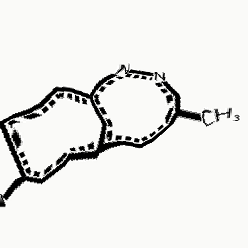 Cc1cc2cc(I)ccc2nn1